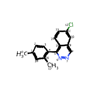 Cc1ccc(-c2nncc3cc(Cl)ccc23)c(C)c1